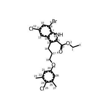 CCOC(=O)c1[nH]c2c(Br)cc(Cl)cc2c1CCCOc1cc(C)c(Cl)c(C)c1